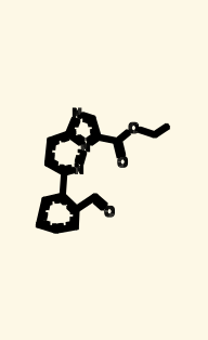 CCOC(=O)c1cnc2ccc(-c3ccccc3C=O)nn12